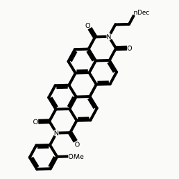 CCCCCCCCCCCCN1C(=O)c2ccc3c4ccc5c6c(ccc(c7ccc(c2c37)C1=O)c64)C(=O)N(c1ccccc1OC)C5=O